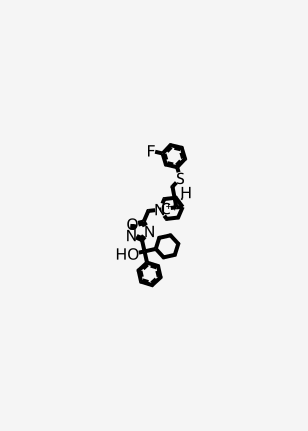 OC(c1ccccc1)(c1noc(C[N+]23CCC(CC2)[C@H](CSc2cccc(F)c2)C3)n1)C1CCCCC1